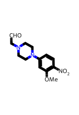 COc1cc(N2CCN(CC=O)CC2)ccc1[N+](=O)[O-]